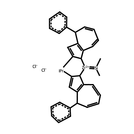 CC1=CC2=C(C=CC=CC2c2ccccc2)[CH]1[Zr+2]([CH]1C(C(C)C)=CC2=C1C=CC=CC2c1ccccc1)=[Si](C)C.[Cl-].[Cl-]